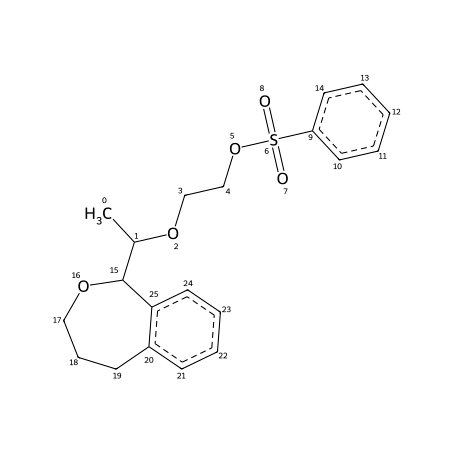 CC(OCCOS(=O)(=O)c1ccccc1)C1OCCCc2ccccc21